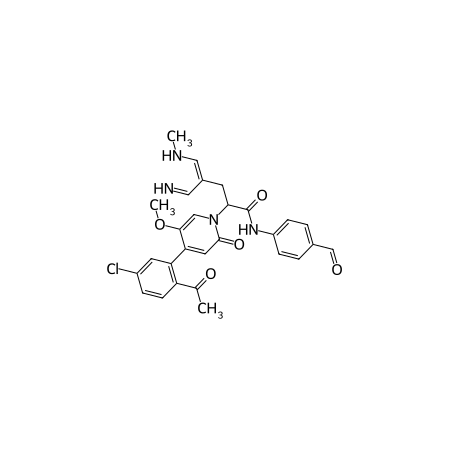 CN/C=C(\C=N)CC(C(=O)Nc1ccc(C=O)cc1)n1cc(OC)c(-c2cc(Cl)ccc2C(C)=O)cc1=O